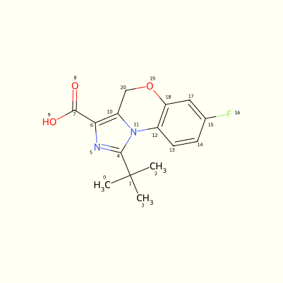 CC(C)(C)c1nc(C(=O)O)c2n1-c1ccc(F)cc1OC2